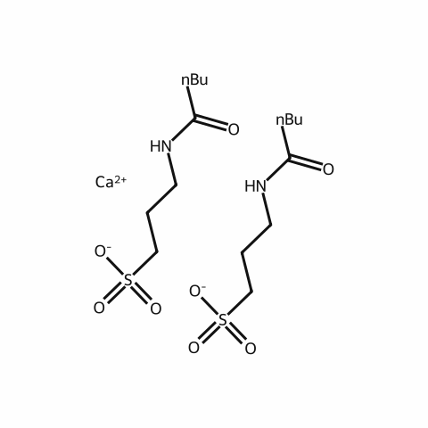 CCCCC(=O)NCCCS(=O)(=O)[O-].CCCCC(=O)NCCCS(=O)(=O)[O-].[Ca+2]